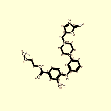 COCCOC(=O)c1ccc(Nc2cccc(N3CCN(CC4C=NC(=O)O4)CC3)c2)c(N)c1